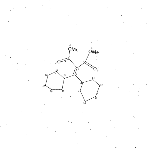 COC(=O)C(C(=O)OC)=C(C1CCCCC1)C1CCCCC1